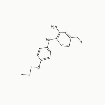 CCCOc1ccc(Nc2ccc(CI)cc2N)cc1